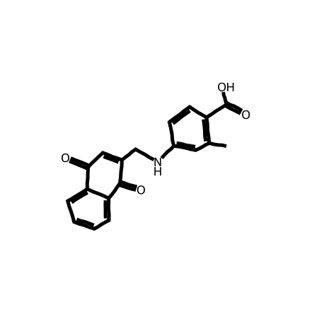 Cc1cc(NCC2=CC(=O)c3ccccc3C2=O)ccc1C(=O)O